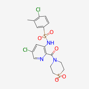 Cc1cc(S(=O)(=O)Nc2cc(Cl)cnc2C(=O)N2CCS(=O)(=O)CC2)ccc1Cl